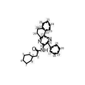 O=C(CC1CCCCC1)Nc1nc2c(nc1-c1ccccc1)-c1ccccc1CC2